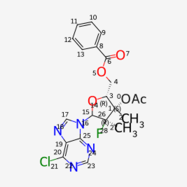 CC(=O)O[C@@]1(C)[C@@H](COC(=O)c2ccccc2)OC(n2cnc3c(Cl)ncnc32)[C@]1(C)F